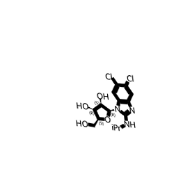 CC(C)Nc1nc2cc(Cl)c(Cl)cc2n1[C@@H]1O[C@@H](CO)[C@H](O)[C@@H]1O